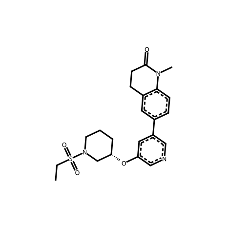 CCS(=O)(=O)N1CCC[C@H](Oc2cncc(-c3ccc4c(c3)CCC(=O)N4C)c2)C1